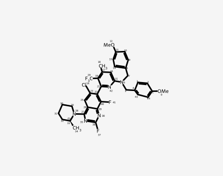 COc1ccc(CN(Cc2ccc(OC)cc2)c2cc(C)c(C(F)(F)F)c(-c3c(Cl)cc4c(N5CCCC[C@@H]5C)nc(F)nc4c3F)n2)cc1